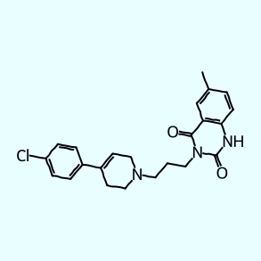 Cc1ccc2[nH]c(=O)n(CCCN3CC=C(c4ccc(Cl)cc4)CC3)c(=O)c2c1